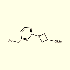 COC1CN(c2cccc(CC(C)=O)n2)C1